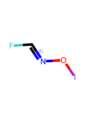 F/C=N/OI